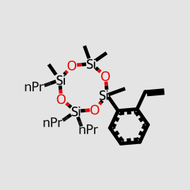 C=Cc1ccccc1[Si]1(C)O[Si](C)(C)O[Si](C)(CCC)O[Si](CCC)(CCC)O1